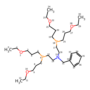 CCOCCCP(CCCOCC)CCN(CCP(CCCOCC)CCCOCC)Cc1ccccc1